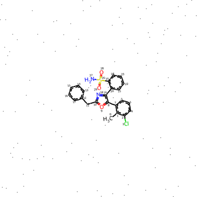 Cc1c(Cl)cccc1-c1oc(Cc2ccccc2)nc1-c1ccccc1S(N)(=O)=O